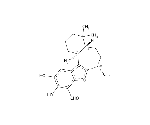 C[C@H]1CC[C@H]2C(C)(C)CCC[C@]2(C)c2c1oc1c(C=O)c(O)c(O)cc21